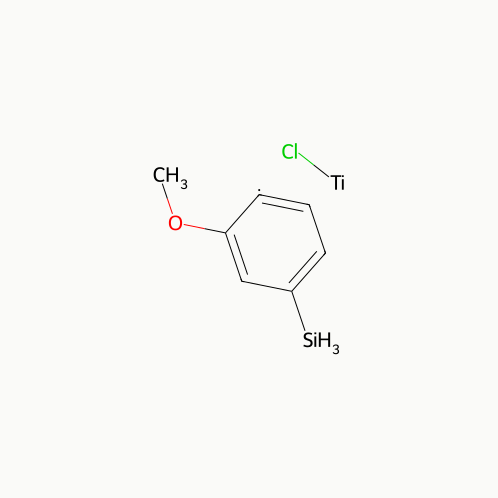 COc1[c]ccc([SiH3])c1.[Cl][Ti]